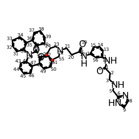 O=C(CCNCc1ncc[nH]1)Nc1cccc(NC(=O)CCN2CCC(OC(=O)N(c3ccccc3-c3ccccc3)c3ccccc3-c3ccccc3)CC2)c1